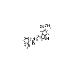 CC(=O)c1ccc2[nH]cc(CCNC(=O)c3ccccc3N)c2c1